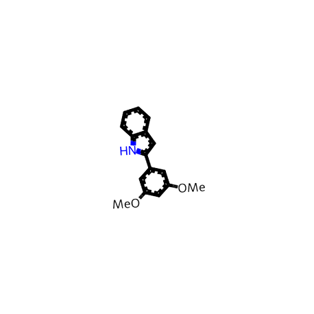 COc1cc(OC)cc(-c2cc3ccccc3[nH]2)c1